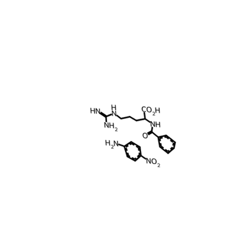 N=C(N)NCCCC(NC(=O)c1ccccc1)C(=O)O.Nc1ccc([N+](=O)[O-])cc1